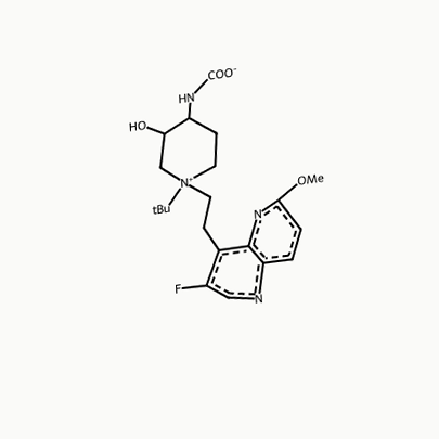 COc1ccc2ncc(F)c(CC[N+]3(C(C)(C)C)CCC(NC(=O)[O-])C(O)C3)c2n1